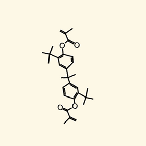 C=C(C)C(=O)Oc1ccc(C(C)(C)c2ccc(OC(=O)C(=C)C)c(C(C)(C)C)c2)cc1C(C)(C)C